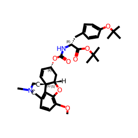 COc1ccc2c3c1O[C@H]1C[C@@H](OC(=O)N[C@H](Cc4ccc(OC(C)(C)C)cc4)C(=O)OC(C)(C)C)C=C[C@@]31CCN(C)C2